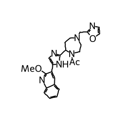 COc1nc2ccccc2cc1-c1cnc(C2CCN(Cc3ncco3)CCN2C(C)=O)[nH]1